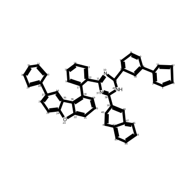 c1ccc(-c2cccc(C3N=C(c4ccccc4-c4cccc5oc6ccc(-c7ccccc7)cc6c45)N=C(c4ccc5ccccc5c4)N3)c2)cc1